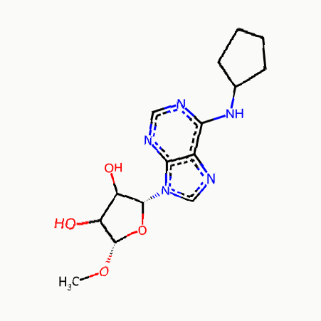 CO[C@H]1O[C@@H](n2cnc3c(NC4CCCC4)ncnc32)C(O)C1O